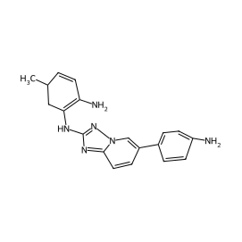 CC1C=CC(N)=C(Nc2nc3ccc(-c4ccc(N)cc4)cn3n2)C1